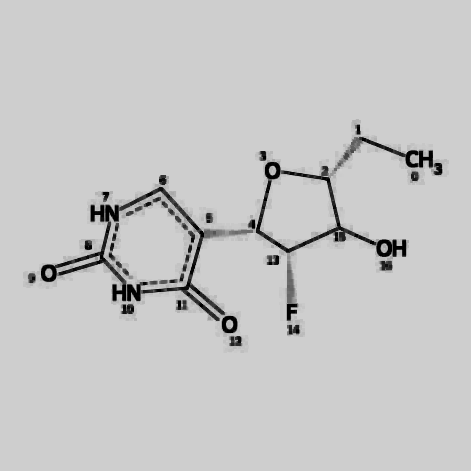 CC[C@H]1O[C@@H](c2c[nH]c(=O)[nH]c2=O)[C@@H](F)C1O